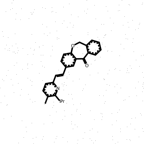 Cc1ccc(/C=C/c2ccc3c(c2)C(=O)c2ccccc2CO3)nc1C(C)C